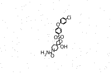 NC(=O)N1CCC(CCS(=O)(=O)c2ccc(Oc3ccc(Cl)cc3)cc2)(C(=O)O)CC1